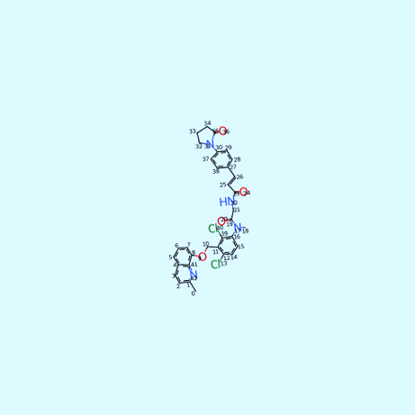 Cc1ccc2cccc(OCc3c(Cl)ccc(N(C)C(=O)CNC(=O)C=Cc4ccc(N5CCCC5=O)cc4)c3Cl)c2n1